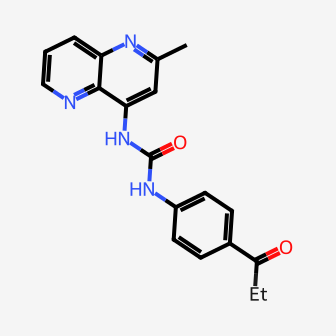 CCC(=O)c1ccc(NC(=O)Nc2cc(C)nc3cccnc23)cc1